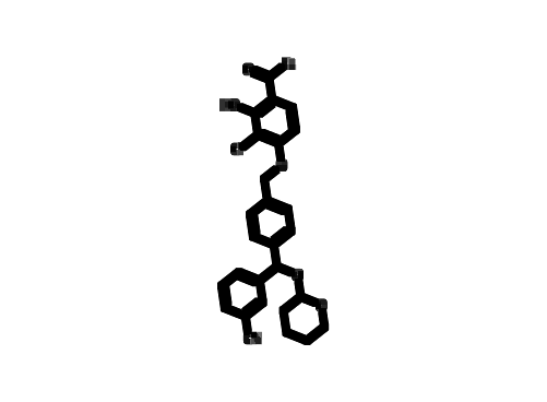 CCC(=O)c1ccc(OCc2ccc(C(OC3CCCCO3)c3cccc(C#N)c3)cc2)c(Cl)c1O